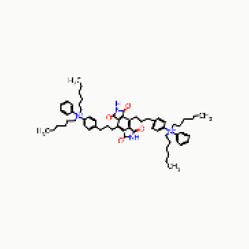 CCCCCC[N+](CCCCCC)(c1ccccc1)c1ccc(CCCc2c3c(=O)[nH]c(=O)c3c(CCCc3ccc([N+](CCCCCC)(CCCCCC)c4ccccc4)cc3)c3c(=O)[nH]c(=O)c23)cc1